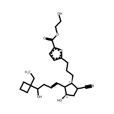 CCC1(C(O)C/C=C/C2[C@@H](CCCc3ccc(C(=O)OCCO)s3)C(C#N)C[C@H]2O)CCC1